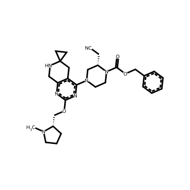 CN1CCC[C@H]1COc1nc2c(c(N3CCN(C(=O)OCc4ccccc4)[C@@H](CC#N)C3)n1)CC1(CC1)NC2